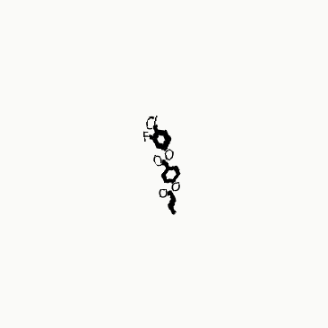 C/C=C/C(=O)OC1CCC(C(=O)Oc2ccc(Cl)c(F)c2)CC1